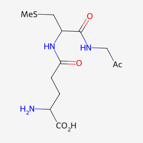 CSCC(NC(=O)CCC(N)C(=O)O)C(=O)NCC(C)=O